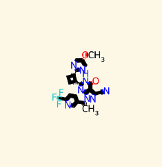 COc1cnc([C@H]2CC[C@@H]2c2nc3c(c(C#N)nn3[C@@H](C)c3ccc(C(F)(F)F)nc3)c(=O)[nH]2)nc1